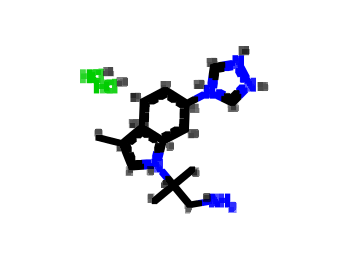 Cc1cn(C(C)(C)CN)c2cc(-n3cnnc3)ccc12.Cl.Cl